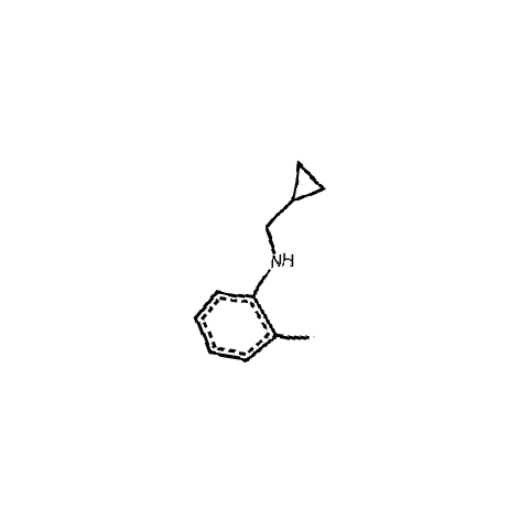 [CH2]c1ccccc1NCC1CC1